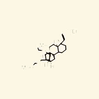 CCOC(=O)/C=C/[C@]1(C)CCC[C@@]2(C)[C@@H]3C[C@@H]4CC[C@@]3(CC[C@@H]21)[C@H](OCOC)[C@H]4COCOC